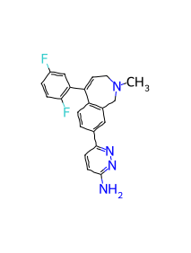 CN1CC=C(c2cc(F)ccc2F)c2ccc(-c3ccc(N)nn3)cc2C1